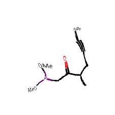 CCCC#CCC(C)C(=O)CP(OC)OC